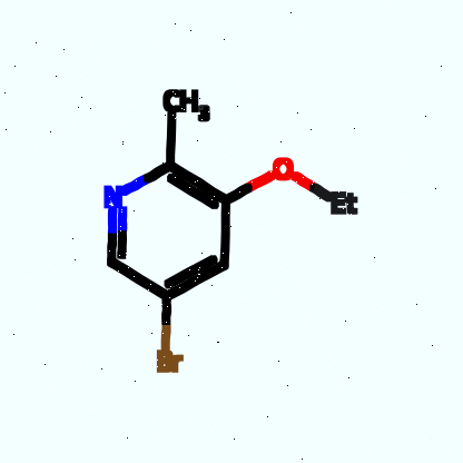 CCOc1cc(Br)cnc1C